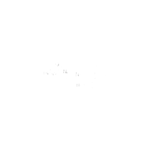 CC(C)=Cc1cc(F)c(C#N)c(N2CCN(C(=O)OC(C)(C)C)CC2)c1